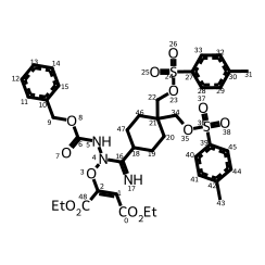 CCOC(=O)C=C(ON(NC(=O)OCc1ccccc1)C(=N)C1CCC(COS(=O)(=O)c2ccc(C)cc2)(COS(=O)(=O)c2ccc(C)cc2)CC1)C(=O)OCC